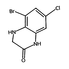 O=C1CNc2c(Br)cc(Cl)cc2N1